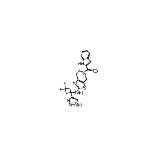 O=C(c1cc2ccccc2[nH]1)N1CCc2nc(NC3(c4c[nH]nn4)CC(F)(F)C3)sc2C1